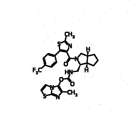 Cc1nc(C(=O)N2C[C@@H]3CCC[C@@H]3[C@H]2CNC(=O)Oc2c(C)nc3sccn23)c(-c2ccc(C(F)(F)F)cc2)s1